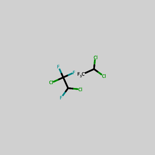 FC(Cl)C(F)(F)Cl.FC(F)(F)C(Cl)Cl